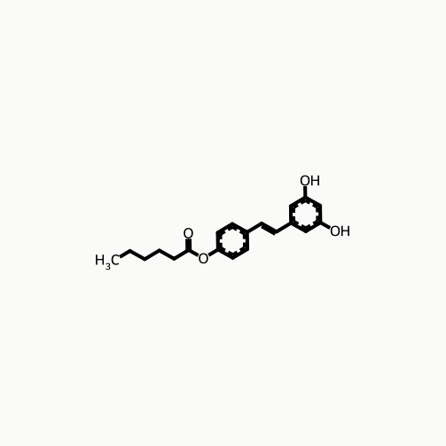 CCCCCC(=O)Oc1ccc(C=Cc2cc(O)cc(O)c2)cc1